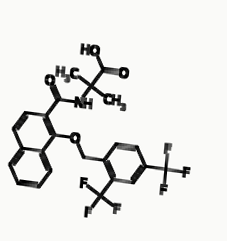 CC(C)(NC(=O)c1ccc2ccccc2c1OCc1ccc(C(F)(F)F)cc1C(F)(F)F)C(=O)O